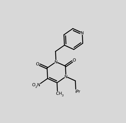 Cc1c([N+](=O)[O-])c(=O)n(Cc2ccncc2)c(=O)n1CC(C)C